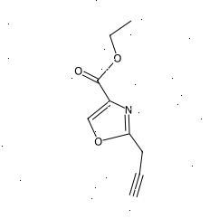 C#CCc1nc(C(=O)OCC)co1